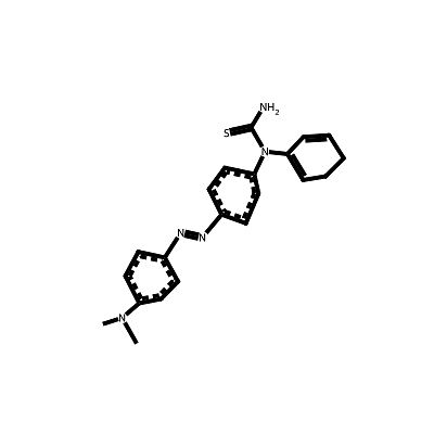 CN(C)c1ccc(N=Nc2ccc(N(C(N)=S)C3=C[CH]CC=C3)cc2)cc1